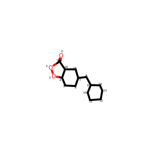 O=C1OOC2CCC(CC3CCCCC3)CC12